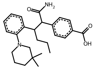 CCCC(c1ccccc1N1CCCC(C)(C)C1)C(C(N)=O)c1ccc(C(=O)O)cc1